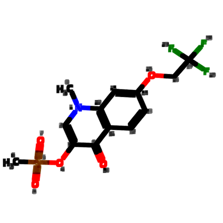 Cn1cc(OS(C)(=O)=O)c(=O)c2ccc(OCC(F)(F)F)cc21